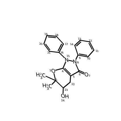 CC1(C)Oc2c(c(=O)n(-c3ccccc3)n2-c2ccccc2)CC1O